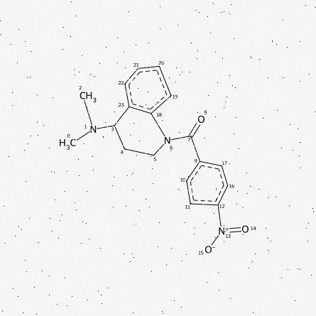 CN(C)C1CCN(C(=O)c2ccc([N+](=O)[O-])cc2)c2ccccc21